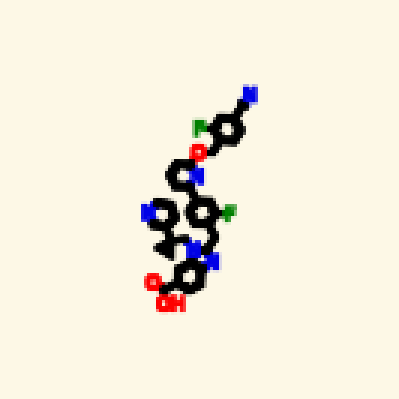 N#Cc1ccc(COc2cccc(-c3ccc(Cc4nc5ccc(C(=O)O)cc5n4CC4(c5cccnc5)CC4)c(F)c3)n2)c(F)c1